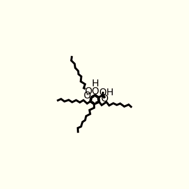 CCCCCCCCCCOOc1c(O)c(C(=O)O)c(CCCCCCCCC)c(CCCCCCCCC)c1CCCCCCCCC